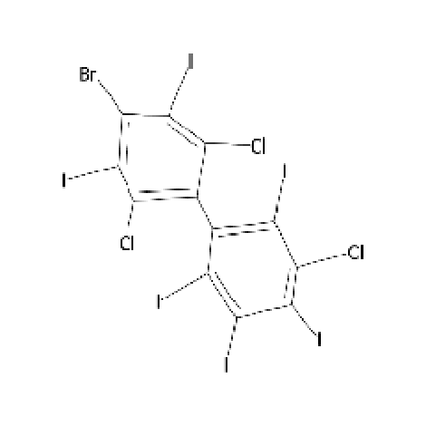 Clc1c(I)c(I)c(I)c(-c2c(Cl)c(I)c(Br)c(I)c2Cl)c1I